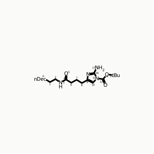 CCCCCCCCCCCCNC(=O)CCCc1cn(C(=O)OC(C)(C)C)c(N)n1